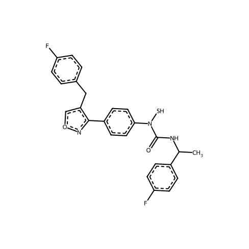 CC(NC(=O)N(S)c1ccc(-c2nocc2Cc2ccc(F)cc2)cc1)c1ccc(F)cc1